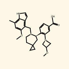 COc1cc(C)c2[nH]ccc2c1CN1CCC2(CC2)C[C@@H]1c1ccc(C(=O)O)cc1N1CC(OC)C1